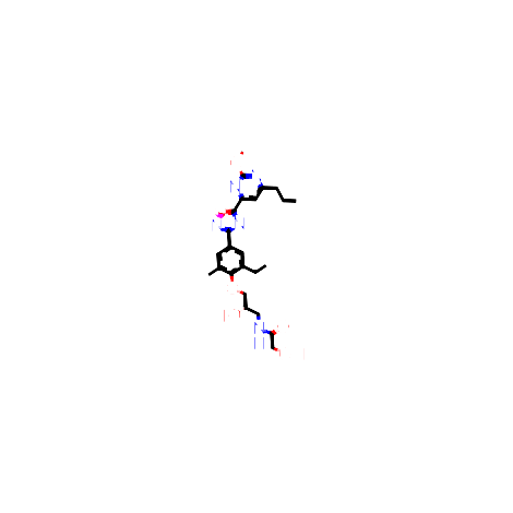 CCCc1cc(-c2nc(-c3cc(C)c(OC[C@@H](O)CNC(=O)CO)c(CC)c3)no2)nc(OC)n1